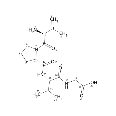 CC(C)[C@H](N)C(=O)N1CCC[C@H]1C(=O)N[C@H](C(=O)NCC(=O)O)C(C)C